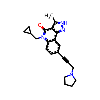 Cc1[nH]nc2c1c(=O)n(CC1CC1)c1ccc(C#CCN3CCCC3)cc21